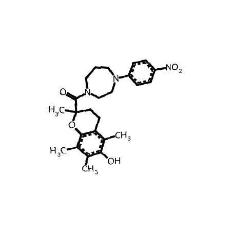 Cc1c(C)c2c(c(C)c1O)CCC(C)(C(=O)N1CCCN(c3ccc([N+](=O)[O-])cc3)CC1)O2